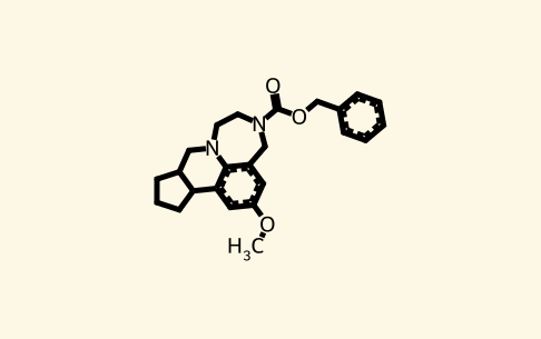 COc1cc2c3c(c1)C1CCCC1CN3CCN(C(=O)OCc1ccccc1)C2